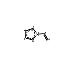 C=[C]n1cccc1